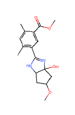 COC(=O)c1cc(C2=NC3(O)CC(OC)CC3N2)c(C)cc1C